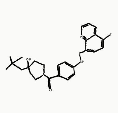 CC(C)(C)CC1(O)CCN(C(=O)c2ccc(NSc3ccc(F)c4cccnc34)cc2)CC1